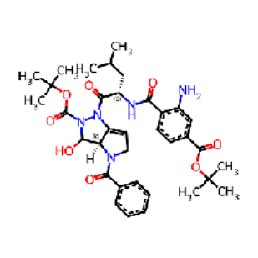 CC(C)C[C@H](NC(=O)c1ccc(C(=O)OC(C)(C)C)cc1N)C(=O)N1C2=CCN(C(=O)c3ccccc3)[C@H]2C(O)N1C(=O)OC(C)(C)C